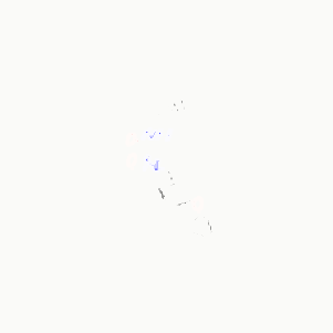 COCCNC(=O)C1CN(CC2C=CC=C(Oc3ccccc3)C2)CCO1